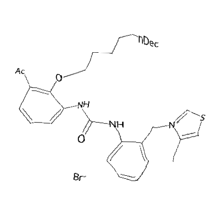 CCCCCCCCCCCCCCOc1c(NC(=O)Nc2ccccc2C[n+]2cscc2C)cccc1C(C)=O.[Br-]